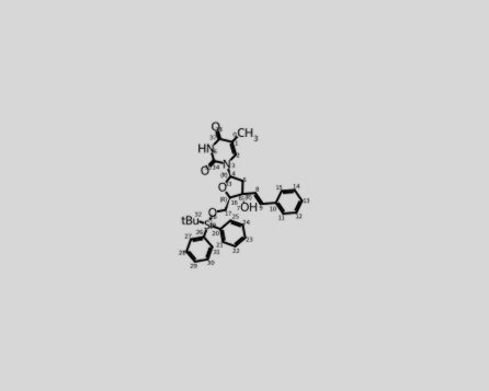 Cc1cn([C@H]2C[C@@](O)(C=Cc3ccccc3)[C@@H](CO[Si](c3ccccc3)(c3ccccc3)C(C)(C)C)O2)c(=O)[nH]c1=O